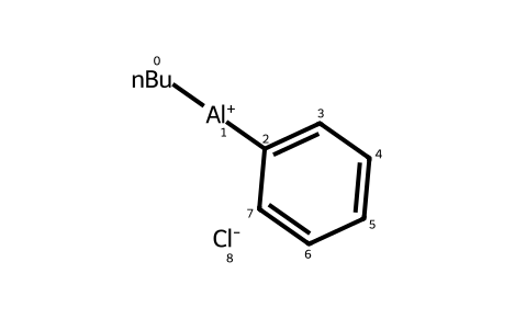 CCC[CH2][Al+][c]1ccccc1.[Cl-]